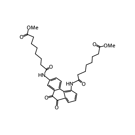 COC(=O)CCCCCCC(=O)Nc1ccc2c(c1)C(=O)C(=O)c1cccc(NC(=O)CCCCCCC(=O)OC)c1-2